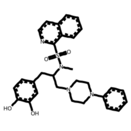 CN(C(Cc1ccc(O)c(O)c1)CN1CCN(c2ccccc2)CC1)S(=O)(=O)c1nccc2ccccc12